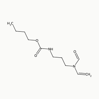 C=CN(C=O)CCCNC(=O)OCCCC